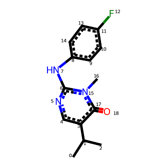 CC(C)c1cnc(Nc2ccc(F)cc2)n(C)c1=O